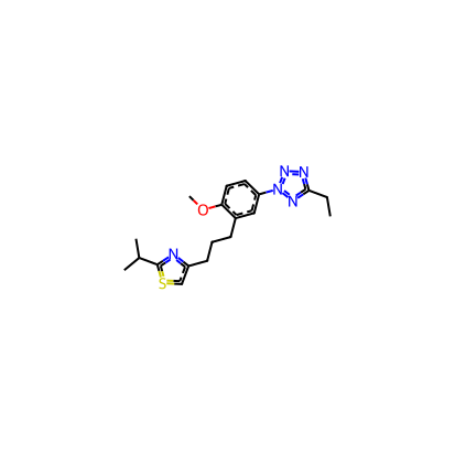 CCc1nnn(-c2ccc(OC)c(CCCc3csc(C(C)C)n3)c2)n1